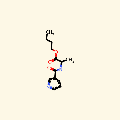 CCCCOC(=O)C(C)NC(=O)c1cccnc1